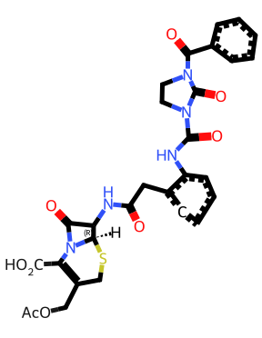 CC(=O)OCC1=C(C(=O)O)N2C(=O)C(NC(=O)Cc3ccccc3NC(=O)N3CCN(C(=O)c4ccccc4)C3=O)[C@H]2SC1